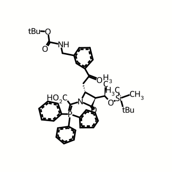 C[C@@H](O[Si](C)(C)C(C)(C)C)[C@H]1C(=O)N(C(C(=O)O)=P(c2ccccc2)(c2ccccc2)c2ccccc2)[C@@H]1CC(=O)c1cccc(CNC(=O)OC(C)(C)C)c1